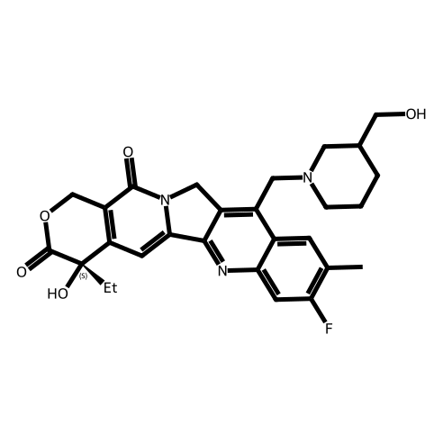 CC[C@@]1(O)C(=O)OCc2c1cc1n(c2=O)Cc2c-1nc1cc(F)c(C)cc1c2CN1CCCC(CO)C1